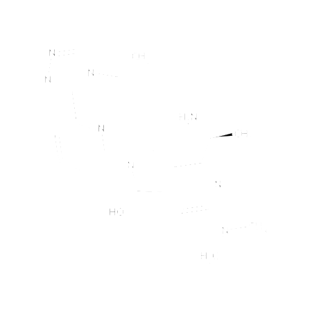 CCn1cnnc1-c1cccc(N2Cc3c(cc(N(C)C)nc3[C@H](C)N)C2O)n1